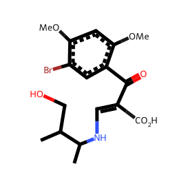 COc1cc(OC)c(C(=O)C(=CNC(C)C(C)CO)C(=O)O)cc1Br